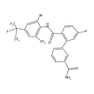 NC(=O)c1cccc(-c2cc(F)ccc2C(=O)Nc2c(Br)cc(C(F)(C(F)(F)F)C(F)(F)F)cc2C(F)(F)F)c1